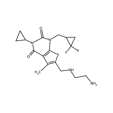 Cc1c(CNCCN)sc2c1c(=O)n(C1CC1)c(=O)n2CC1CC1(F)F